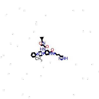 Cc1ccccc1N1CCN(c2ccc(C(=O)NCCCc3c[nH]cn3)cc2NC(=O)c2coc(C3CC3)n2)CC1